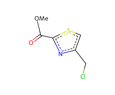 COC(=O)c1nc(CCl)cs1